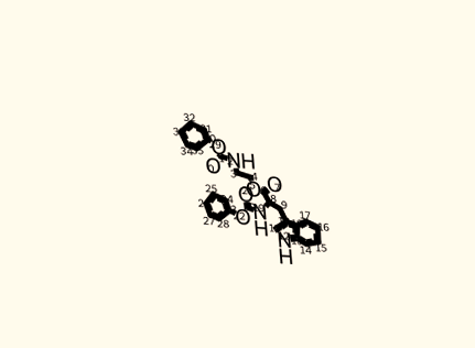 O=C(NCCOC(=O)C(Cc1c[nH]c2ccccc12)NC(=O)Oc1ccccc1)Oc1ccccc1